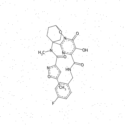 Cc1cc(C(=O)N(C)C23CCC(CC2)Cn2c3nc(C(=O)NCc3ccc(F)cc3)c(O)c2=O)no1